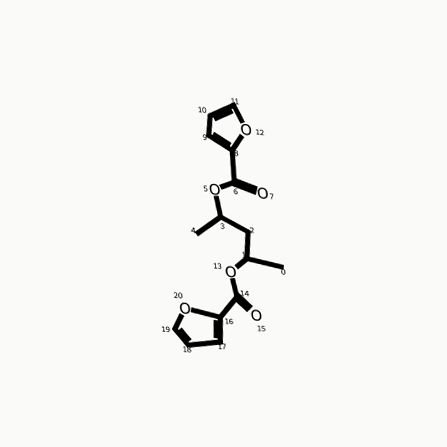 CC(CC(C)OC(=O)c1ccco1)OC(=O)c1ccco1